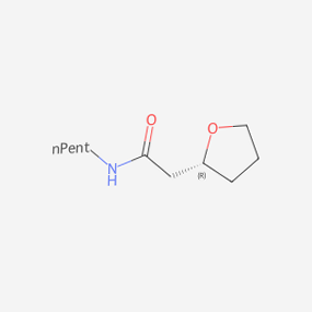 CCCCCNC(=O)C[C@H]1CCCO1